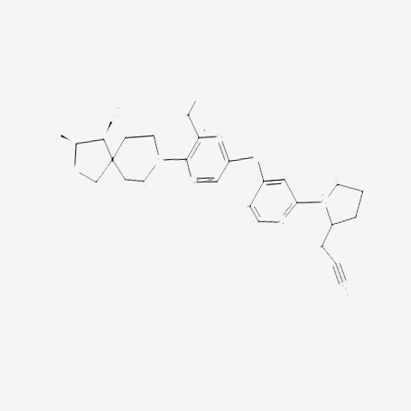 C[C@@H]1OCC2(CCN(c3ncc(Sc4ccnc(N5CCCC5CC#N)c4)nc3CO)CC2)[C@@H]1N